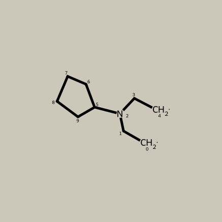 [CH2]CN(C[CH2])C1CCCC1